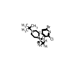 [2H]C([2H])([2H])S(=O)(=O)N1CCN(C(C)(C)C)C[C@@H]1c1cc(Cl)nc(Br)c1